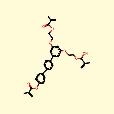 C=C(C)C(=O)OCCOc1cc(OCCOC(O)C(=C)C)cc(-c2ccc(-c3ccc(OC(=O)C(=C)C)cc3)cc2)c1